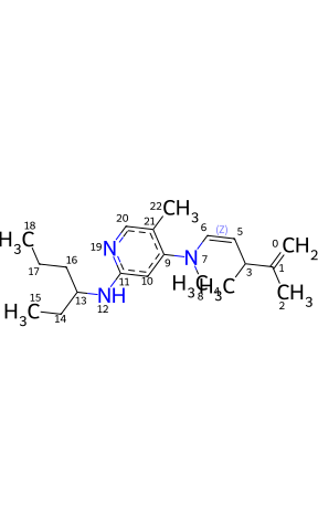 C=C(C)C(C)/C=C\N(C)c1cc(NC(CC)CCC)ncc1C